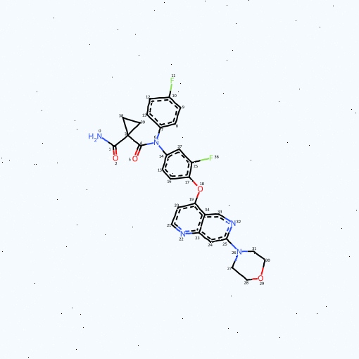 NC(=O)C1(C(=O)N(c2ccc(F)cc2)c2ccc(Oc3ccnc4cc(N5CCOCC5)ncc34)c(F)c2)CC1